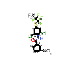 O=C(Nc1c(Cl)cc(SC(F)(F)C(F)(F)C(F)(F)F)cc1Cl)c1cccc([N+](=O)[O-])c1